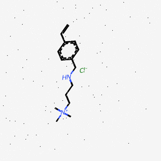 C=Cc1ccc(CNCCC[N+](C)(C)C)cc1.[Cl-]